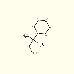 CCCCCCCC(C)(C)N1CCOCC1